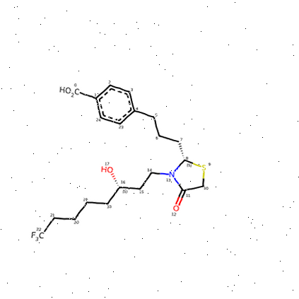 O=C(O)c1ccc(CCC[C@@H]2SCC(=O)N2CC[C@@H](O)CCCCC(F)(F)F)cc1